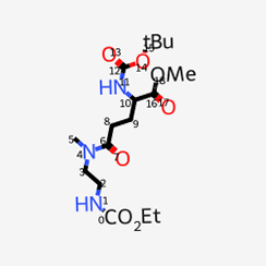 CCOC(=O)NCCN(C)C(=O)CCC(NC(=O)OC(C)(C)C)C(=O)OC